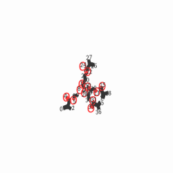 C=C(C)C(=O)OCCO[Si](OCCOC(=O)C(=C)C)(OCCOC(=O)C(=C)C)OCCOC(=O)C(=C)C